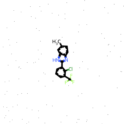 Cc1ccc2nc(-c3cccc(C(F)(F)F)c3Cl)[nH]c2c1